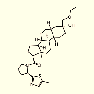 CCOC[C@@]1(O)CC[C@H]2[C@H](CC[C@@H]3[C@@H]2CC[C@]2(C)[C@@H](C(=O)N4CCC[C@@H]4c4ncc(C)s4)CC[C@@H]32)C1